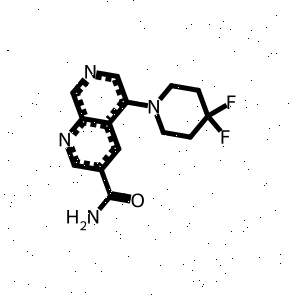 NC(=O)c1cnc2cncc(N3CCC(F)(F)CC3)c2c1